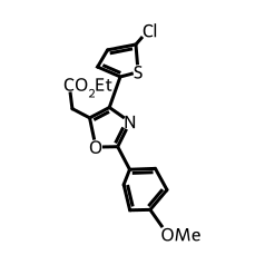 CCOC(=O)Cc1oc(-c2ccc(OC)cc2)nc1-c1ccc(Cl)s1